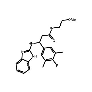 COCCNC(=O)CC(Nc1nc2ccccc2[nH]1)c1cc(C)c(F)c(C)c1